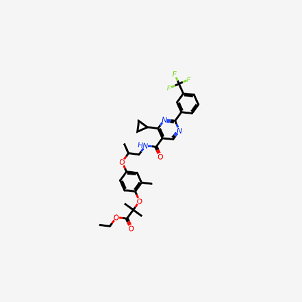 CCOC(=O)C(C)(C)Oc1ccc(OC(C)CNC(=O)c2cnc(-c3cccc(C(F)(F)F)c3)nc2C2CC2)cc1C